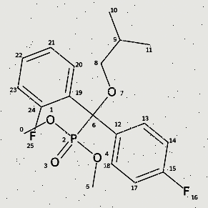 COP(=O)(OC)C(OCC(C)C)(c1ccc(F)cc1)c1ccccc1F